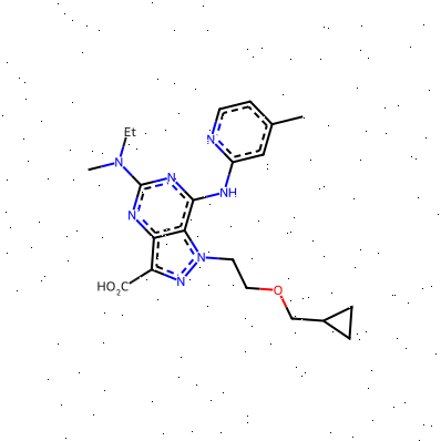 CCN(C)c1nc(Nc2cc(C)ccn2)c2c(n1)c(C(=O)O)nn2CCOCC1CC1